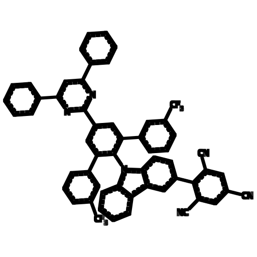 N#Cc1cc(C#N)c(-c2ccc3c(c2)c2ccccc2n3-c2c(-c3cccc(C(F)(F)F)c3)cc(-c3nc(-c4ccccc4)cc(-c4ccccc4)n3)cc2-c2cccc(C(F)(F)F)c2)c(C#N)c1